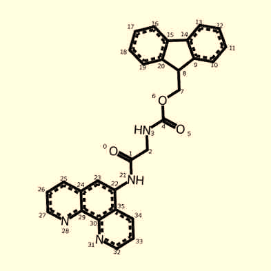 O=C(CNC(=O)OCC1c2ccccc2-c2ccccc21)Nc1cc2cccnc2c2ncccc12